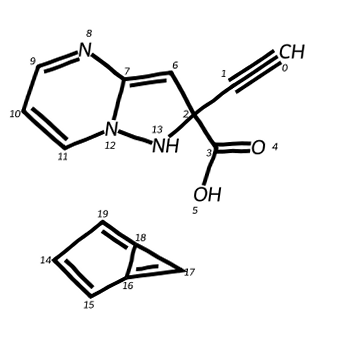 C#CC1(C(=O)O)C=C2N=CC=CN2N1.c1cc2cc-2c1